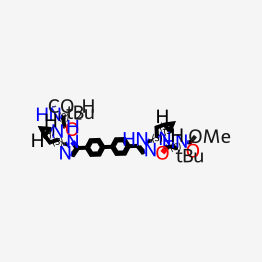 COC(=O)N[C@H](C(=O)N1[C@H](c2ncc(-c3ccc(-c4ccc(-c5cnc([C@@H]6C[C@@H]7C[C@@H]7N6C(=O)[C@@H](NC(=O)O)C(C)(C)C)[nH]5)cc4)cc3)[nH]2)C[C@@H]2C[C@@H]21)C(C)(C)C